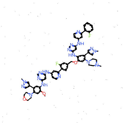 COc1cc(N2CCOCC2)c(-c2cnn(C)c2)cc1Nc1cc(Nc2ccnc(-c3ccc(COc4cc(N5CCN(C)CC5)c(-c5cnn(C)c5)cc4Nc4cc(Nc5ccnc(-c6ccccc6F)c5)ncn4)cc3F)c2)ncn1